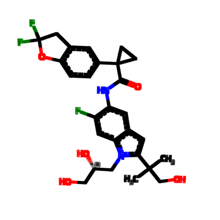 CC(C)(CO)c1cc2cc(NC(=O)C3(c4ccc5c(c4)CC(F)(F)O5)CC3)c(F)cc2n1C[C@@H](O)CO